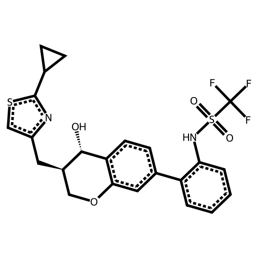 O=S(=O)(Nc1ccccc1-c1ccc2c(c1)OC[C@@H](Cc1csc(C3CC3)n1)[C@@H]2O)C(F)(F)F